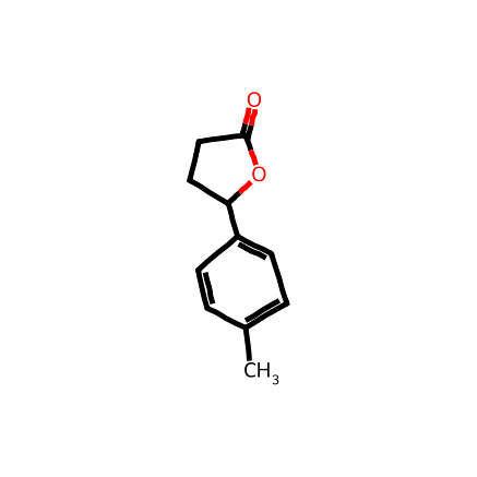 Cc1ccc(C2CCC(=O)O2)cc1